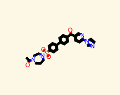 CC(=O)N1CCCN(S(=O)(=O)c2ccc(-c3ccc(C(=O)c4ccc(-n5ccnc5)nc4)cc3)cc2)CC1